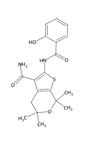 CC1(C)Cc2c(sc(NC(=O)c3ccccc3O)c2C(N)=O)C(C)(C)O1